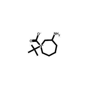 CC(C)(C)[N+]1(C(=O)[O-])CCCCC(N)C1